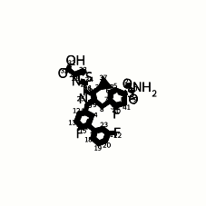 NS(=O)(=O)c1ccc(Cc2c(-c3ccc(F)c(-c4cccc(F)c4)c3)nn(-c3nc(C(=O)O)cs3)c2C2CC2)c(F)c1